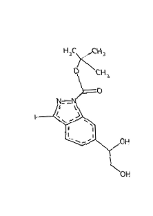 CC(C)(C)OC(=O)n1nc(I)c2ccc(C(O)CO)cc21